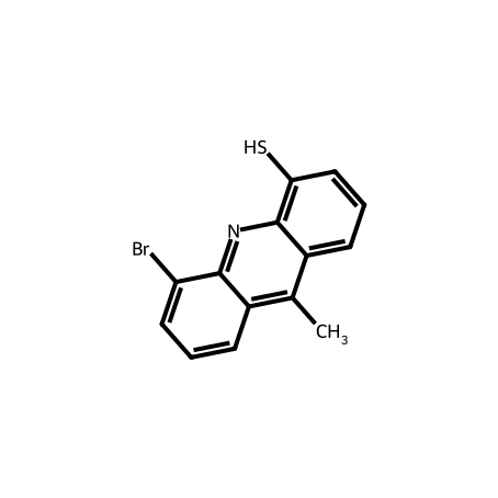 Cc1c2cccc(S)c2nc2c(Br)cccc12